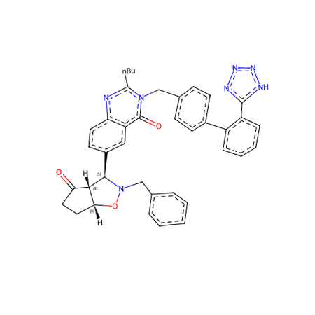 CCCCc1nc2ccc([C@@H]3[C@H]4C(=O)CC[C@H]4ON3Cc3ccccc3)cc2c(=O)n1Cc1ccc(-c2ccccc2-c2nnn[nH]2)cc1